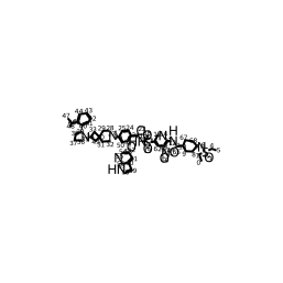 CCS(=O)(CC)=NC1CCC(CNc2ncc(S(=O)(=O)NC(=O)c3ccc(N4CCC5(CC4)CC(N4CCC[C@H]4c4ccccc4C(C)C)C5)cc3Oc3cnc4[nH]ccc4c3)cc2[N+](=O)[O-])CC1